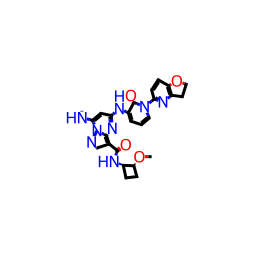 CNc1cc(Nc2cccn(-c3ccc4c(n3)CCO4)c2=O)nc2c(C(=O)N[C@@H]3CC[C@H]3OC)cnn12